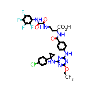 O=C(NCC[C@@H](NC(=O)c1ccc(Nc2nc(NC3(c4ccc(Cl)cc4)CC3)nc(OCC(F)(F)F)n2)cc1)C(=O)O)C(=O)Nc1cc(F)c(F)c(F)c1F